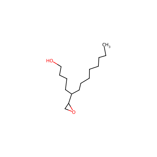 CCCCCCCCC(CCCCO)C1CO1